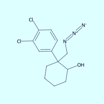 [N-]=[N+]=NCC1(c2ccc(Cl)c(Cl)c2)CCCCC1O